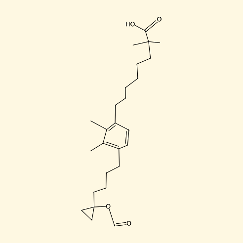 Cc1c(CCCCCCC(C)(C)C(=O)O)ccc(CCCCC2(OC=O)CC2)c1C